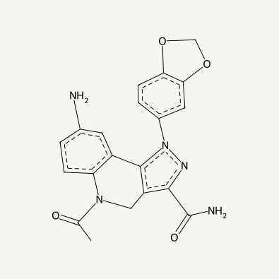 CC(=O)N1Cc2c(C(N)=O)nn(-c3ccc4c(c3)OCO4)c2-c2cc(N)ccc21